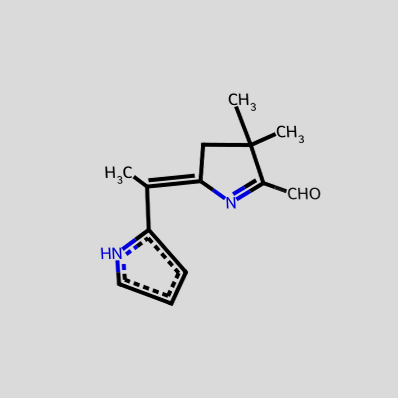 C/C(=C1\CC(C)(C)C(C=O)=N1)c1ccc[nH]1